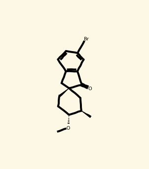 CO[C@@H]1CC[C@]2(Cc3ccc(Br)cc3C2=O)C[C@H]1C